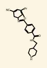 CC(C)C1=C2OC(c3ccc(C(=O)NCC4CCNCC4)cc3)=NC2CC(C#N)=C1